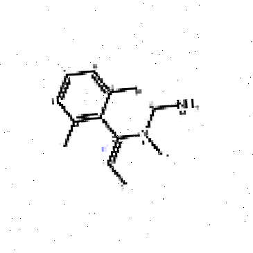 C/C=C(/c1c(C)cccc1C)N(C)CN